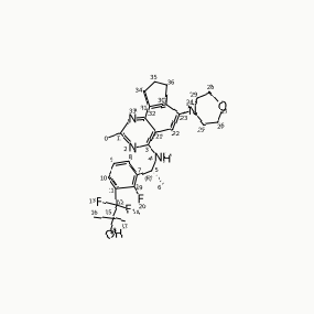 Cc1nc(N[C@H](C)c2cccc(C(F)(F)C(C)(C)O)c2F)c2cc(N3CCOCC3)c3c(c2n1)CCC3